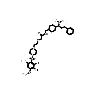 COc1cc(C)c(S(=O)(=O)N2CCN(CCOCC(=O)NCC3CCC(C(CCc4ccccc4)N(C)C)CC3)CC2)c(C)c1C